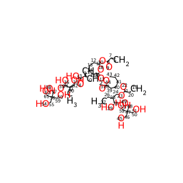 C=C(C)C(=O)O.C=CC(=O)OC1CCCCC(=O)O1.C=CC(=O)OCC(CC)CO.CC(=CO)C(=O)O.O=C1CCCCCO1.OCC(CO)(CO)CO.OCC(CO)(CO)CO